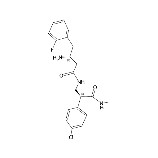 CNC(=O)[C@H](CNC(=O)C[C@H](N)Cc1ccccc1F)c1ccc(Cl)cc1